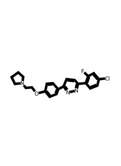 Fc1cc(Cl)ccc1-c1ccc(-c2ccc(OCCN3CCCC3)cc2)nn1